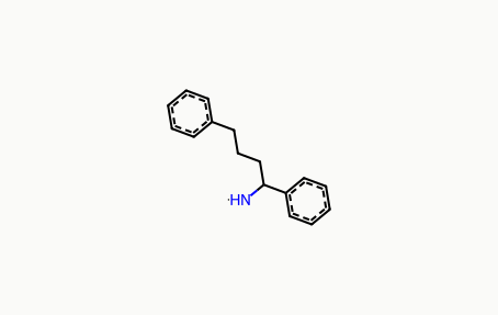 [NH]C(CCCc1ccccc1)c1ccccc1